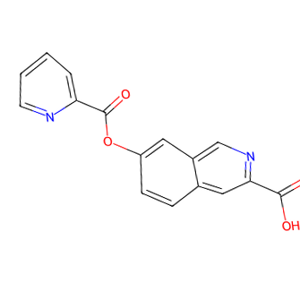 O=C(O)c1cc2ccc(OC(=O)c3ccccn3)cc2cn1